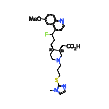 COc1ccc2nccc(C(F)CC[C@@H]3CCN(CCCSc4nccn4C)C[C@@H]3CC(=O)O)c2c1